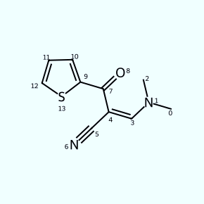 CN(C)/C=C(/C#N)C(=O)c1cccs1